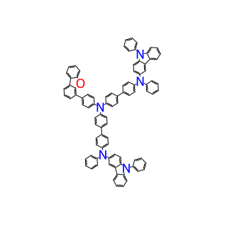 c1ccc(N(c2ccc(-c3ccc(N(c4ccc(-c5ccc(N(c6ccccc6)c6ccc7c(c6)c6ccccc6n7-c6ccccc6)cc5)cc4)c4ccc(-c5cccc6c5oc5ccccc56)cc4)cc3)cc2)c2ccc3c(c2)c2ccccc2n3-c2ccccc2)cc1